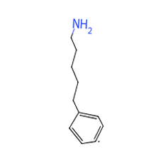 NCCCCCc1cc[c]cc1